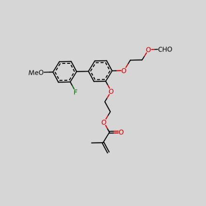 C=C(C)C(=O)OCCOc1cc(-c2ccc(OC)cc2F)ccc1OCCOC=O